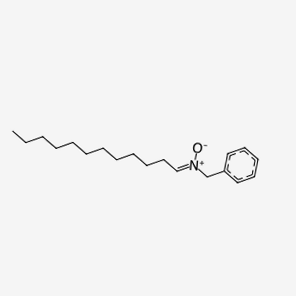 CCCCCCCCCCCC=[N+]([O-])Cc1ccccc1